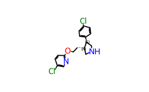 Clc1ccc([C@H]2CNC[C@@H]2CCOc2ccc(Cl)cn2)cc1